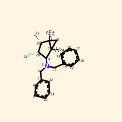 CC[C@@]12C[C@@H]1[C@@H](N(Cc1ccccc1)Cc1ccccc1)[C@H](F)[C@@H]2C